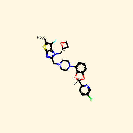 C[C@@]1(c2ccc(Cl)cn2)Oc2cccc(N3CCN(Cc4nc5sc(C(=O)O)c(F)c5n4C[C@@H]4CCO4)CC3)c2O1